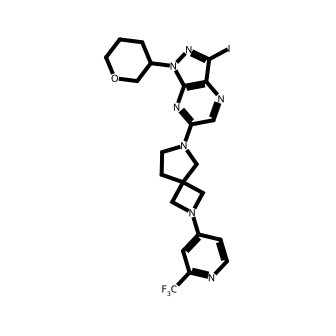 FC(F)(F)c1cc(N2CC3(CCN(c4cnc5c(I)nn(C6CCCOC6)c5n4)C3)C2)ccn1